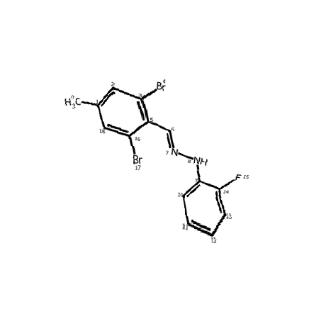 Cc1cc(Br)c(/C=N/Nc2ccccc2F)c(Br)c1